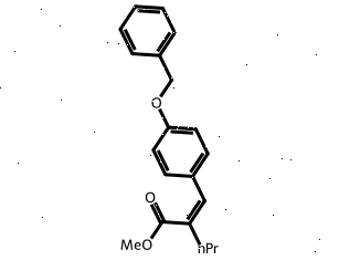 CCCC(=Cc1ccc(OCc2ccccc2)cc1)C(=O)OC